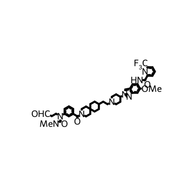 CNC(=O)N(CCC=O)c1cccc(C(=O)N2CCC3(CCC(CCN4CCC(n5cc6cc(NC(=O)c7cccc(C(F)(F)F)n7)c(OC)cc6n5)CC4)CC3)CC2)c1